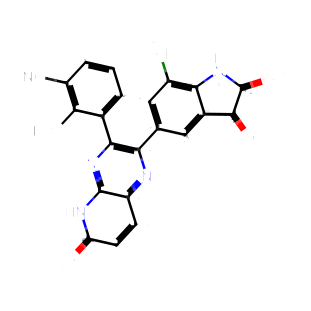 Cc1c(C#N)cccc1-c1nc2[nH]c(=O)ccc2nc1-c1cc(Cl)c2c(c1)C(=O)C(=O)N2